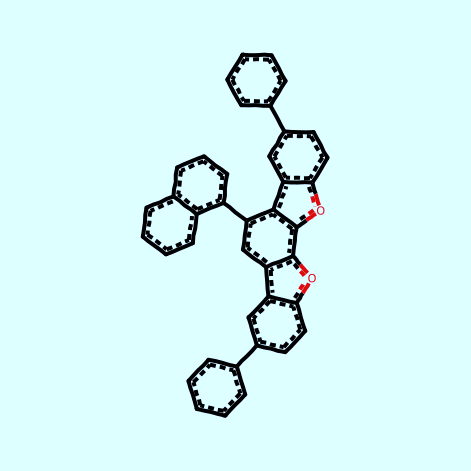 c1ccc(-c2ccc3oc4c(cc(-c5cccc6ccccc56)c5c6cc(-c7ccccc7)ccc6oc45)c3c2)cc1